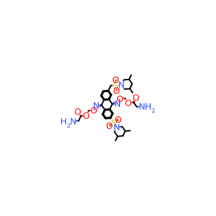 CC1CC(C)CN(S(=O)(=O)Cc2ccc3c(c2)/C(=N\OCOC(=O)CN)c2cc(S(=O)(=O)N4CC(C)CC(C)C4)ccc2/C3=N\OCOC(=O)CN)C1